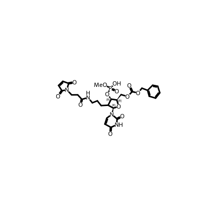 COP(=O)(O)O[C@@H]1C(CCCNC(=O)CCN2C(=O)C=CC2=O)[C@H](n2ccc(=O)[nH]c2=O)O[C@@H]1COC(=O)OCc1ccccc1